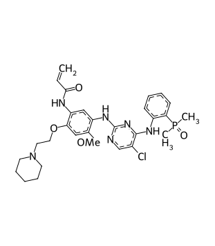 C=CC(=O)Nc1cc(Nc2ncc(Cl)c(Nc3ccccc3P(C)(C)=O)n2)c(OC)cc1OCCN1CCCCC1